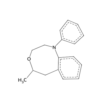 CC1Cc2ccccc2N(c2ccccc2)CCO1